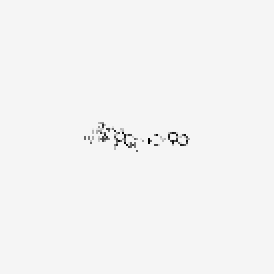 CNC1(NC)CCc2nc(CCCCN3CCN(c4ccc5ccccc5n4)CC3)n(N)c(=O)c2C1